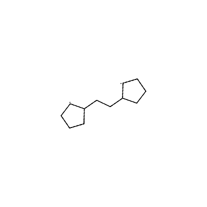 [CH]1CCCC1CCC1[CH]CCC1